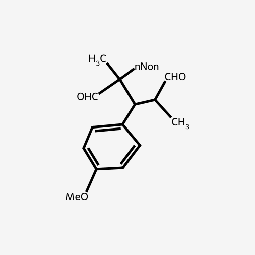 CCCCCCCCCC(C)(C=O)C(c1ccc(OC)cc1)C(C)C=O